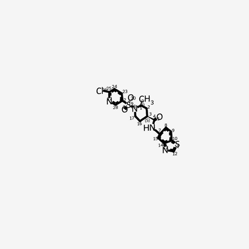 C[C@@H]1C[C@@H](C(=O)Nc2ccc3scnc3c2)CCN1S(=O)(=O)c1ccc(Cl)nc1